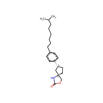 CC(C)CCCCCCc1ccc([C@@H]2CC[C@]3(COC(=O)N3)C2)cc1